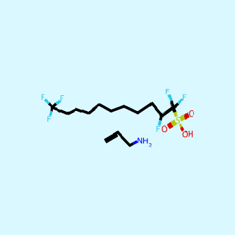 C=CCN.O=S(=O)(O)C(F)(F)C(F)CCCCCCCCC(F)(F)F